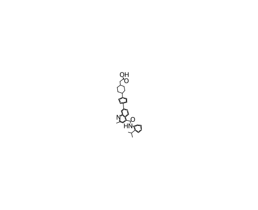 Cc1cc(C(=O)Nc2ccccc2C(C)C)c2ccc(-c3ccc(C4CCC(CC(=O)O)CC4)cc3)cc2n1